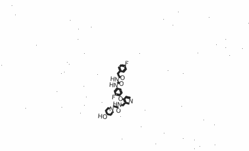 O=C(CN1CCC(O)CC1)NCc1cnccc1Oc1ccc(NC(=O)NC(=O)Cc2ccc(F)cc2)cc1F